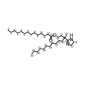 CCCCCCCCCCCCCC(=O)OCCC(C)(CCCCCCCCCCC)C1=NCCN1